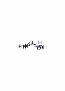 CC(C)CN1CCN(c2ccc(C(=O)/C=C/c3ccc(/C=C/C(=O)NO)cc3)cc2)CC1